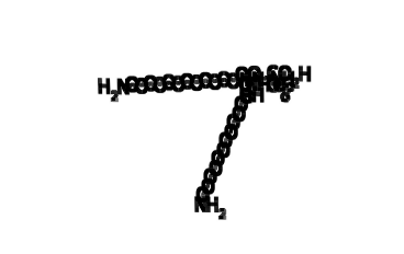 NCCOCCOCCOCCOCCOCCOCCOCCOCCOCCOCCOCCOCCC(=O)NCC(NC(=O)CCOCCOCCOCCOCCOCCOCCOCCOCCOCCOCCOCCOCCN)C(=O)NCCCC[C@H](NC(=O)OCC1c2ccccc2-c2ccccc21)C(=O)O